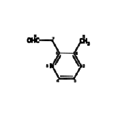 Cc1cccnc1CC=O